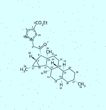 CCOC(=O)c1cnn(CC(=O)[C@H]2[C@@H]3C(C4[C@@H]5CC[C@@H]6C[C@@H](C)CC[C@@H]6[C@H]5CC[C@@]42C)[C@@H]3C)c1